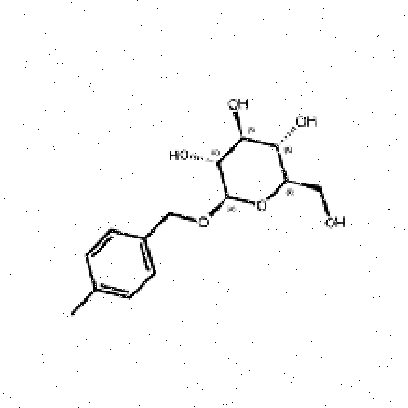 Cc1ccc(CO[C@@H]2O[C@H](CO)[C@@H](O)[C@H](O)[C@H]2O)cc1